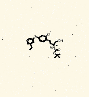 CCc1cccc(Sc2ccc(CC[C@](C)(CO)NC(=O)OC(C)(C)C)c(Cl)c2)c1